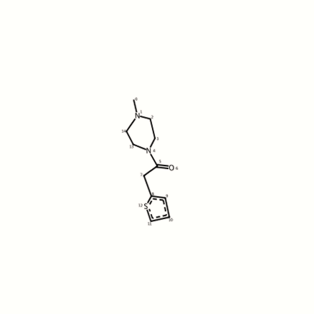 CN1CCN(C(=O)Cc2cccs2)CC1